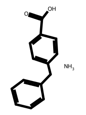 N.O=C(O)c1ccc(Cc2ccccc2)cc1